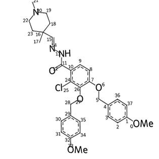 COc1ccc(COc2ccc(C(=O)N/N=C/C3(C)CCN(C)CC3)c(Cl)c2OCc2ccc(OC)cc2)cc1